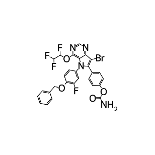 NC(=O)Oc1ccc(-c2c(Br)c3ncnc(OC(F)C(F)F)c3n2-c2ccc(OCc3ccccc3)c(F)c2)cc1